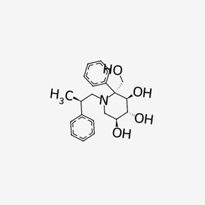 C[C@@H](CN1C[C@H](O)[C@@H](O)[C@H](O)[C@]1(CO)c1ccccc1)c1ccccc1